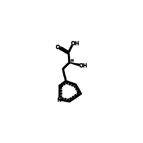 O=C(O)[C@@H](O)Cc1cccnc1